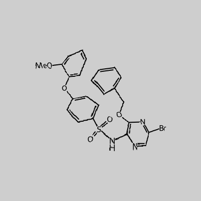 COc1ccccc1Oc1ccc(S(=O)(=O)Nc2ncc(Br)nc2OCc2ccccc2)cc1